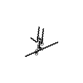 CCCCCCCCCCCCCCN(CCCOC(=O)CCCCCCCCC)CC(=O)N(C)CCN(C)C(=O)CN(CCCCCCCCC)CCN(CCCCCCCCC)CCCCCCCCC